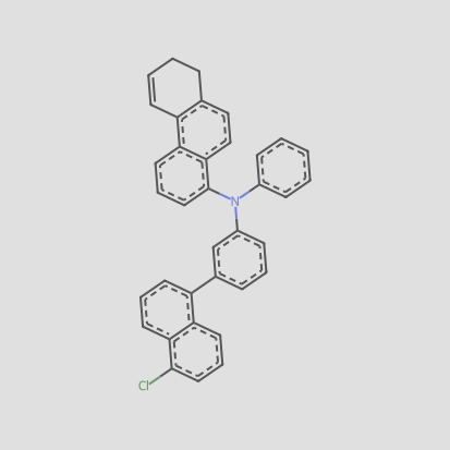 Clc1cccc2c(-c3cccc(N(c4ccccc4)c4cccc5c6c(ccc45)CCC=C6)c3)cccc12